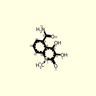 Cn1c(=O)c(O)c(O)c2c(C(N)=O)cccc21